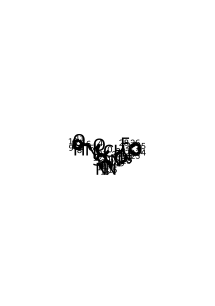 Cc1c(C(=O)NCc2ccco2)sc2ncnc(N3CCN(c4ccccc4F)CC3)c12